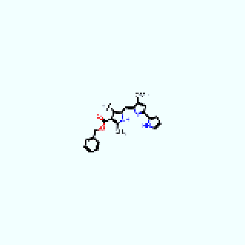 COC1=CC(c2ccc[nH]2)=N/C1=C\c1[nH]c(C)c(C(=O)OCc2ccccc2)c1C